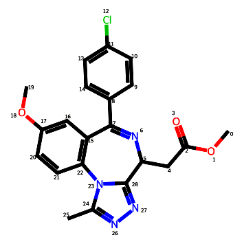 COC(=O)CC1N=C(c2ccc(Cl)cc2)c2cc(OC)ccc2-n2c(C)nnc21